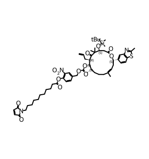 C=CC[C@H]1C(=O)C(C)(C)[C@@H](O[Si](C)(C)C(C)(C)C)CC(=O)O[C@H](c2ccc3sc(C)nc3c2)CC=C(C)CCC[C@H](C)[C@@H]1OC(=O)OCc1ccc(OC(=O)CCCCCCCCCCN2C(=O)C=CC2=O)c([N+](=O)[O-])c1